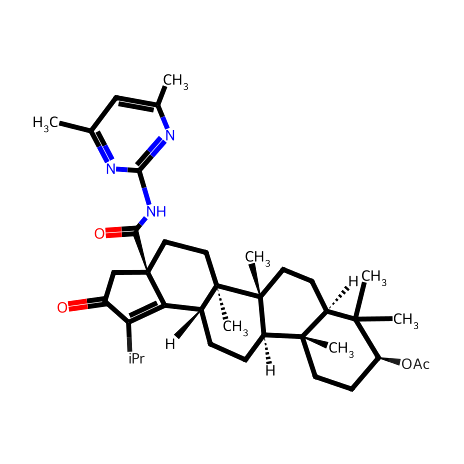 CC(=O)O[C@H]1CC[C@]2(C)[C@H]3CC[C@@H]4C5=C(C(C)C)C(=O)C[C@]5(C(=O)Nc5nc(C)cc(C)n5)CC[C@@]4(C)[C@]3(C)CC[C@H]2C1(C)C